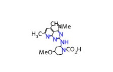 CNc1nc(NC2CC(OC)CCN2C(=O)O)nc2nc(C)cc(C)c12